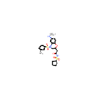 O=C(O)Nc1ccc2c(c1)N(S(=O)(=O)c1cccc(C(F)(F)F)c1)CC(CC(=O)NS(=O)(=O)C1CCCC1)O2